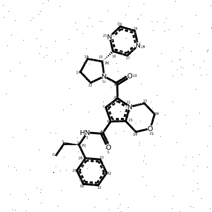 CC[C@@H](NC(=O)c1cc(C(=O)N2CCC[C@@H]2c2cnccn2)n2c1COCC2)c1ccccc1